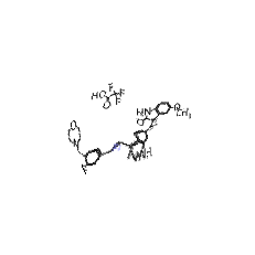 COc1ccc2c(c1)[C@]1(C[C@H]1c1ccc3c(/C=C/c4ccc(CN5CCOCC5)c(F)c4)n[nH]c3c1)C(=O)N2.O=C(O)C(F)(F)F